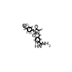 CC1C(=O)N(c2ccc(SC(F)(F)F)cc2)C(=O)N1Cc1ccnc(C(=N)N)c1